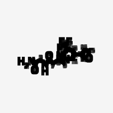 NC(=O)CNC(=O)Cc1cn2cc(-c3ccoc3)cc(C(F)(F)F)c2n1